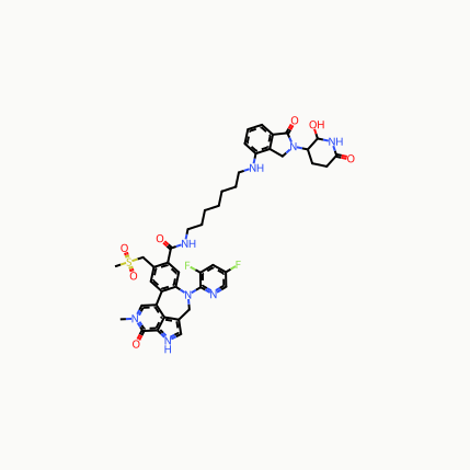 Cn1cc2c3c(c[nH]c3c1=O)CN(c1ncc(F)cc1F)c1cc(C(=O)NCCCCCCCNc3cccc4c3CN(C3CCC(=O)NC3O)C4=O)c(CS(C)(=O)=O)cc1-2